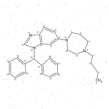 CCCCN1CCCN(c2ccc3ncn(C(c4ccccc4)c4ccccc4)c3c2)CC1